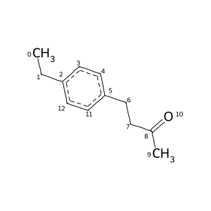 CCc1ccc(CCC(C)=O)cc1